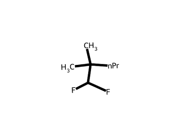 CCCC(C)(C)C(F)F